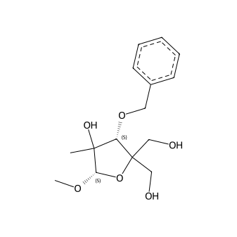 CO[C@H]1OC(CO)(CO)[C@@H](OCc2ccccc2)C1(C)O